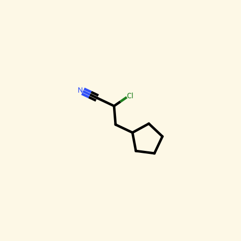 N#CC(Cl)CC1CCCC1